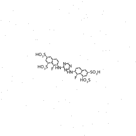 O=S(=O)(O)c1cc(S(=O)(=O)O)c2c(F)c(Nc3ncnc(Nc4ccc5cc(S(=O)(=O)O)cc(S(=O)(=O)O)c5c4F)n3)ccc2c1